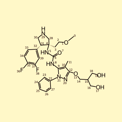 COCC[C@@]1(NC(=O)Nc2c(C)c(OCC(CO)CO)nn2-c2ccccc2)CNC[C@H]1c1ccc(F)c(F)c1